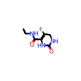 CCNC(=O)C1=C(F)CNC(=O)N1